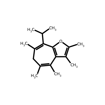 CC1=C(C)c2c(oc(C)c2C)C(C(C)C)=C(C)C1